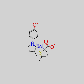 COC(=O)C1(/N=C2\C(C)CCN2c2ccc(OC)cc2)CC=C(C)S1